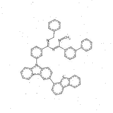 C=N/C(=N\C(=N/Cc1ccccc1)c1cccc(-n2c3ccccc3c3cc(-c4cccc5c4sc4ccccc45)ccc32)c1)c1cccc(-c2ccccc2)c1